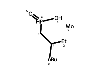 CCCCC(CC)C[PH](=O)O.[Mo]